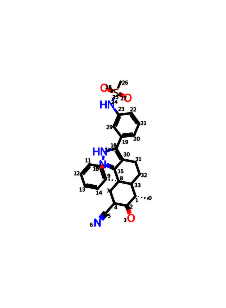 C[C@@H]1C(=O)C(C#N)C[C@@]2(c3ccccc3)c3n[nH]c(-c4cccc(NS(C)(=O)=O)c4)c3CCC12